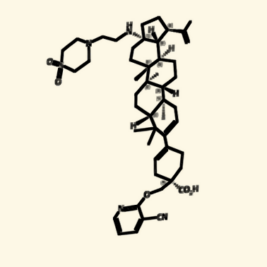 C=C(C)[C@@H]1CC[C@]2(NCCN3CCS(=O)(=O)CC3)CC[C@]3(C)[C@H](CC[C@@H]4[C@@]5(C)CC=C(C6=CC[C@@](COc7ncccc7C#N)(C(=O)O)CC6)C(C)(C)[C@@H]5CC[C@]43C)[C@@H]12